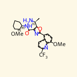 COc1ccc(-c2nc(C(=O)N[C@@H]3CCCC[C@H]3OC)c([C@H](C)N)o2)c2ccc(C(F)(F)F)nc12